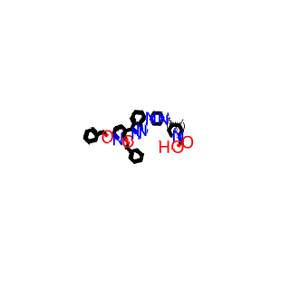 C[C@@H]1CN(C(=O)O)CC[C@@H]1CN1CCN(c2cccc3c(-c4ccc(OCc5ccccc5)nc4OCc4ccccc4)nn(C)c23)CC1